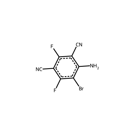 N#Cc1c(N)c(Br)c(F)c(C#N)c1F